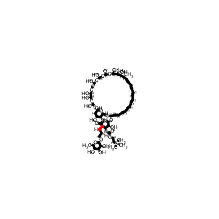 C[C@@H]1[C@H](O)[C@@H](C)/C=C/C=C/C=C/C=C/C=C/C=C/C=C/[C@H](O[C@@H]2OC[C@@H](O)[C@H](NC(=O)OCC[Si](C)(C)C)[C@@H]2O)C[C@@H]2O[C@](O)(C[C@@H](O)C[C@@H](O)[C@H](O)CC[C@@H](O)C[C@@H](O)CC(=O)O[C@H]1C)C[C@H](O)[C@H]2NC(=O)NCCCO[C@H]1O[C@H](C)[C@@H](O)[C@H](O)[C@@H]1O